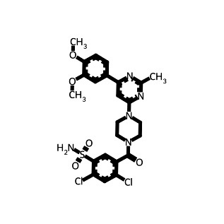 COc1ccc(-c2cc(N3CCN(C(=O)c4cc(S(N)(=O)=O)c(Cl)cc4Cl)CC3)nc(C)n2)cc1OC